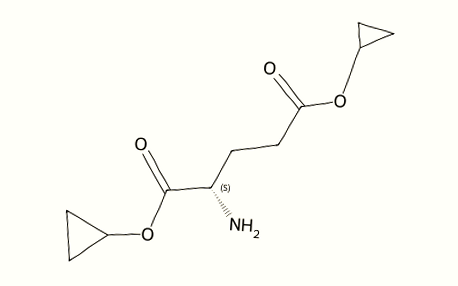 N[C@@H](CCC(=O)OC1CC1)C(=O)OC1CC1